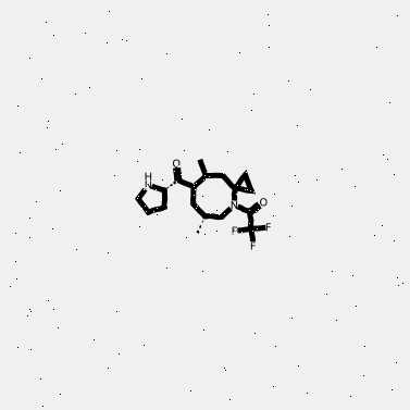 CC1CC2(CC2)N(C(=O)C(F)(F)F)C[C@H](C)CC1C(=O)[C@@H]1CCCN1